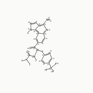 CC(C)C(=O)N(C)N(Cc1ccc(C(F)(F)F)cn1)C(=O)c1ccc2nc(N)c3cnn(C)c3c2c1